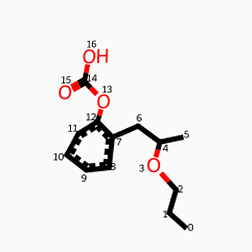 CCCOC(C)Cc1ccccc1OC(=O)O